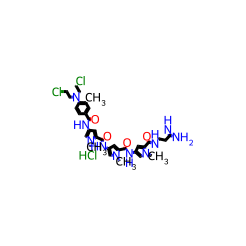 Cc1cc(C(=O)Nc2cc(C(=O)Nc3cc(C(=O)Nc4cc(C(=O)NCCC(=N)N)n(C)c4)n(C)c3)n(C)c2)ccc1N(CCCl)CCCl.Cl